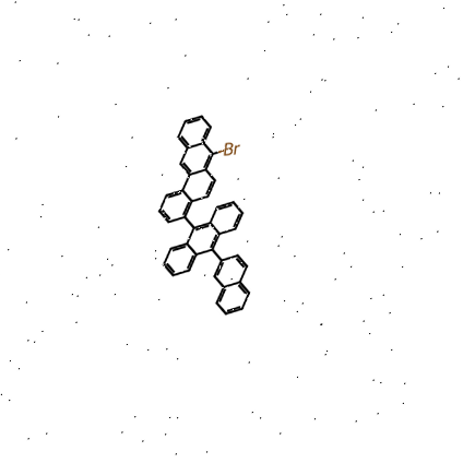 Brc1c2ccccc2cc2c1ccc1c(-c3c4ccccc4c(-c4ccc5ccccc5c4)c4ccccc34)cccc12